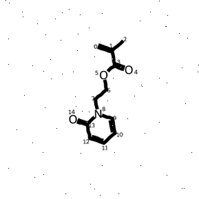 C=C(C)C(=O)OCCn1ccccc1=O